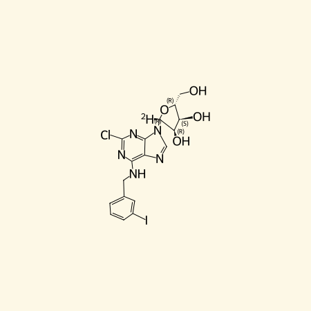 [2H][C@@]1(n2cnc3c(NCc4cccc(I)c4)nc(Cl)nc32)O[C@H](CO)[C@@H](O)[C@H]1O